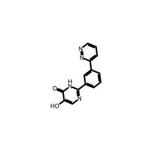 O=c1[nH]c(-c2cccc(-c3cccnn3)c2)ncc1O